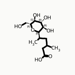 CC(CC(=O)O)CC(C)[C@H]1O[C@H](CO)[C@@H](O)[C@H](O)[C@H]1O